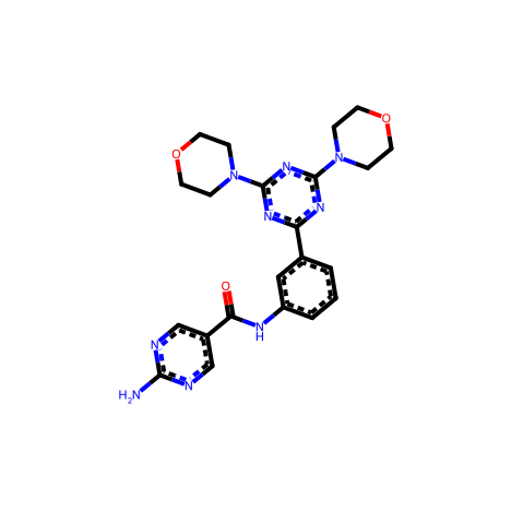 Nc1ncc(C(=O)Nc2cccc(-c3nc(N4CCOCC4)nc(N4CCOCC4)n3)c2)cn1